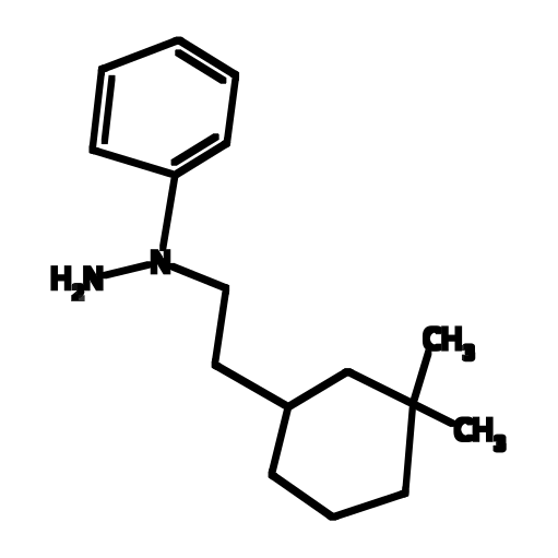 CC1(C)CCCC(CCN(N)c2ccccc2)C1